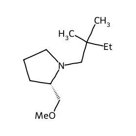 CCC(C)(C)CN1CCC[C@H]1COC